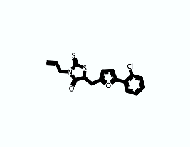 C=CCN1C(=O)C(Cc2ccc(-c3ccccc3Cl)o2)SC1=S